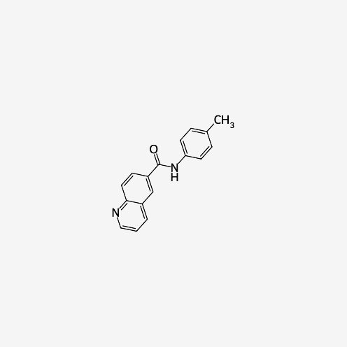 Cc1ccc(NC(=O)c2ccc3ncccc3c2)cc1